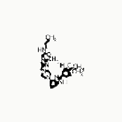 CCCCNC(=O)Cn1cc(CN2CCN(c3cccc4[nH]c(-c5ccc(C(C)(C)C)cc5)nc34)CC2)nc1C